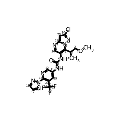 COCC(C)c1c(NC(=O)Nc2cnc(-n3nccn3)c(C(F)(F)F)c2)cnc2cc(Cl)nn12